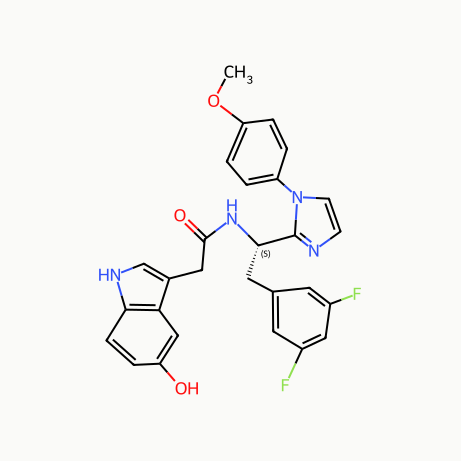 COc1ccc(-n2ccnc2[C@H](Cc2cc(F)cc(F)c2)NC(=O)Cc2c[nH]c3ccc(O)cc23)cc1